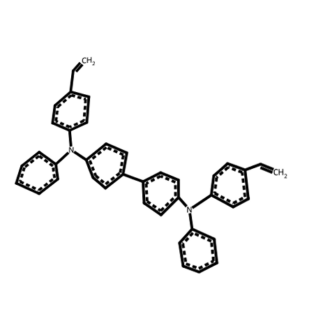 C=Cc1ccc(N(c2ccccc2)c2ccc(-c3ccc(N(c4ccccc4)c4ccc(C=C)cc4)cc3)cc2)cc1